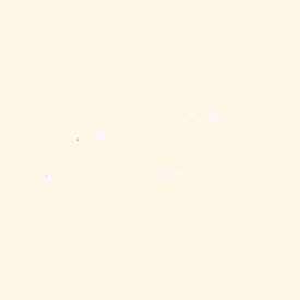 C/C=C(C)/C=C(C)\C=C(C)/C=C/CC